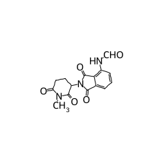 CN1C(=O)CCC(N2C(=O)c3cccc(NC=O)c3C2=O)C1=O